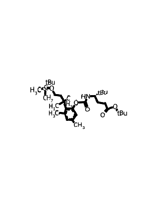 Cc1cc(C)c(C(C)(C)CCO[Si](C)(C)C(C)(C)C)c(OC(=O)N[C@@H](CCC(=O)OC(C)(C)C)C(C)(C)C)c1